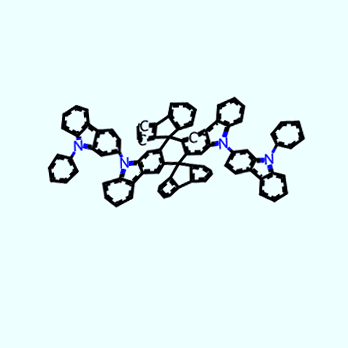 c1ccc(-n2c3ccccc3c3ccc(-n4c5ccccc5c5cc6c(cc54)C4(c5ccccc5-c5ccccc54)c4cc5c7ccccc7n(-c7ccc8c9ccccc9n(-c9ccccc9)c8c7)c5cc4C64c5ccccc5-c5ccccc54)cc32)cc1